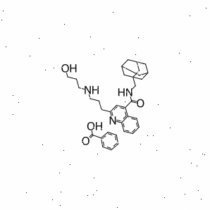 O=C(NCC12CC3CC(CC(C3)C1)C2)c1cc(CCCNCCCO)nc2ccccc12.O=C(O)c1ccccc1